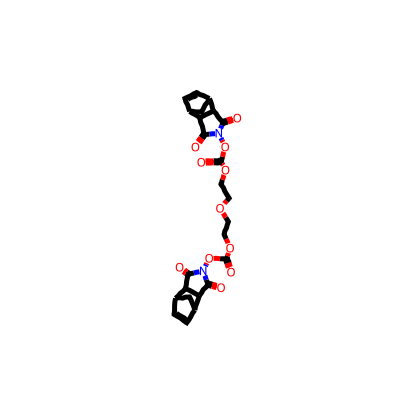 O=C(OCCOCCOC(=O)ON1C(=O)C2C3C=CC(C3)C2C1=O)ON1C(=O)C2C3C=CC(C3)C2C1=O